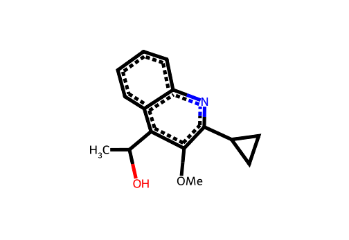 COc1c(C2CC2)nc2ccccc2c1C(C)O